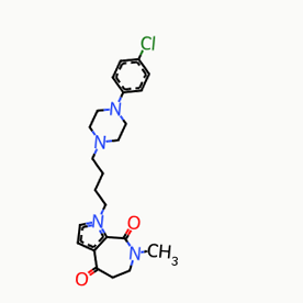 CN1CCC(=O)c2ccn(CCCCN3CCN(c4ccc(Cl)cc4)CC3)c2C1=O